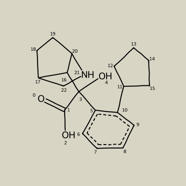 O=C(O)C(O)(c1ccccc1C1CCCC1)C1C2CCC1NC2